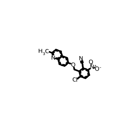 Cc1ccc2cc(OCc3c(Cl)ccc([N+](=O)[O-])c3C#N)ccc2n1